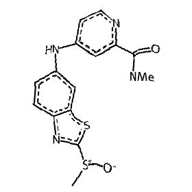 CNC(=O)c1cc(Nc2ccc3nc([S+](C)[O-])sc3c2)ccn1